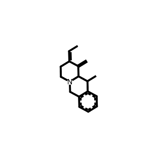 C=C1/C(=C\C)CCN2Cc3ccccc3C(C)C12